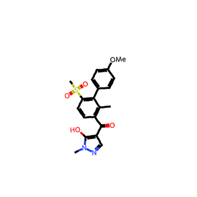 COc1ccc(-c2c(S(C)(=O)=O)ccc(C(=O)c3cnn(C)c3O)c2C)cc1